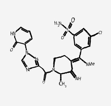 CN/C(=C1/CCN(C(=O)c2ncn(-c3ccc[nH]c3=O)n2)C(C)C1=N)c1cc(Cl)cc(S(N)(=O)=O)c1